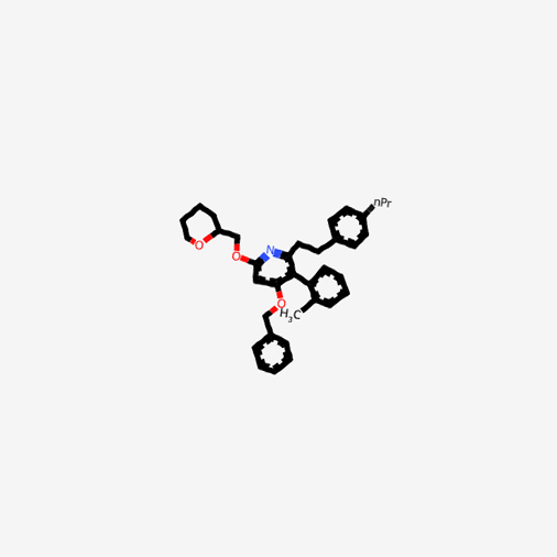 CCCc1ccc(CCc2nc(OCC3CCCCO3)cc(OCc3ccccc3)c2-c2ccccc2C)cc1